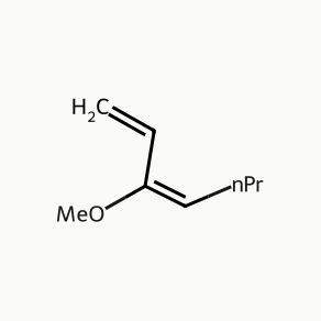 C=C/C(=C\CCC)OC